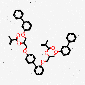 C=C(C)C(=O)OC(COc1ccc(-c2ccccc2OCC(COc2cccc(-c3ccccc3)c2)OC(=O)C(=C)C)cc1)COc1cccc(-c2ccccc2)c1